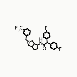 O=C(NC1CCC2CN(Cc3cccc(C(F)(F)F)c3)CC21)C(c1ccc(F)cc1)c1ccc(F)cc1